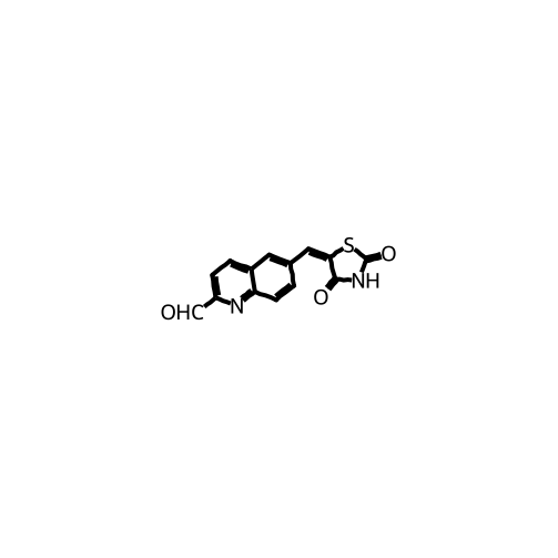 O=Cc1ccc2cc(C=C3SC(=O)NC3=O)ccc2n1